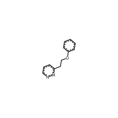 c1ccc(OCCc2cccnn2)cc1